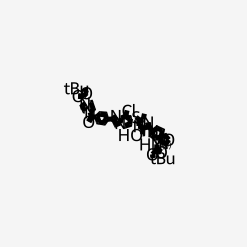 Cc1nc(N2CCC3(CC2)CO[C@@H](C)[C@H]3NC(=O)OC(C)(C)C)c(CO)nc1Sc1ccn2cc(-c3ccc(C(=O)N4CCN(C(=O)OC(C)(C)C)CC4)cc3)nc2c1Cl